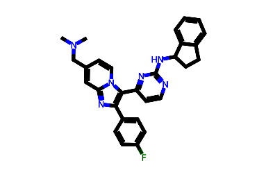 CN(C)Cc1ccn2c(-c3ccnc(NC4CCc5ccccc54)n3)c(-c3ccc(F)cc3)nc2c1